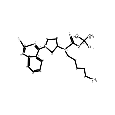 CCCCCCN(C(=O)OC(C)(C)C)C1CCN(c2nc(Cl)nc3ccccc23)C1